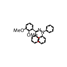 COc1cccc(C(=NN(c2ccccc2)c2ccccc2)c2ccccc2)c1OC